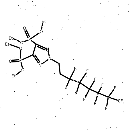 CCOP(=O)(OCC)c1nn(CCC(F)(F)C(F)(F)C(F)(F)C(F)(F)C(F)(F)C(F)(F)F)nc1P(=O)(OCC)OCC